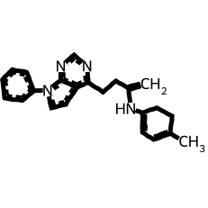 C=C(CCc1ncnc2c1ccn2-c1ccccc1)NC1=CC=C(C)CC1